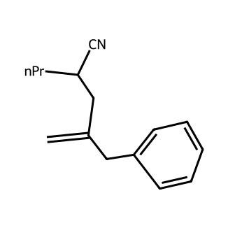 C=C(Cc1ccccc1)CC(C#N)CCC